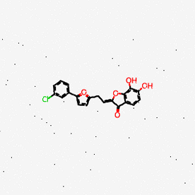 O=C1C(=CCc2ccc(-c3cccc(Cl)c3)o2)Oc2c1ccc(O)c2O